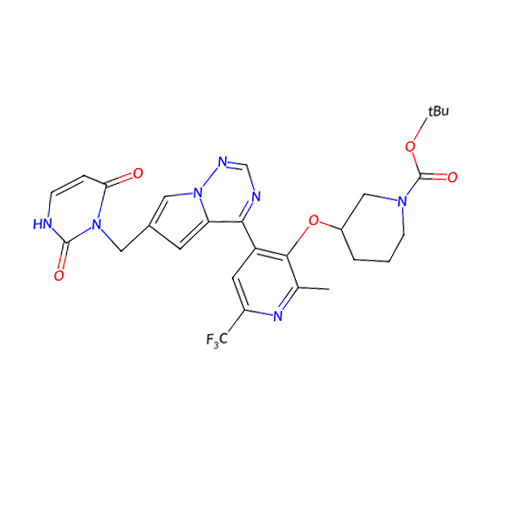 Cc1nc(C(F)(F)F)cc(-c2ncnn3cc(Cn4c(=O)cc[nH]c4=O)cc23)c1OC1CCCN(C(=O)OC(C)(C)C)C1